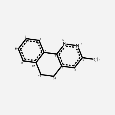 Clc1cc2c(nn1)-c1ccccc1CC2